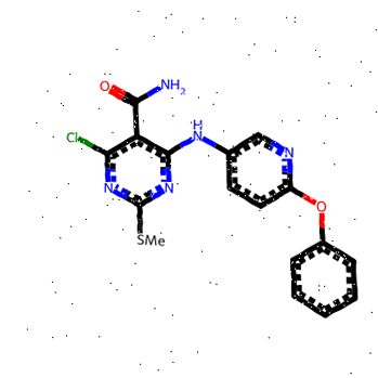 CSc1nc(Cl)c(C(N)=O)c(Nc2ccc(Oc3ccccc3)nc2)n1